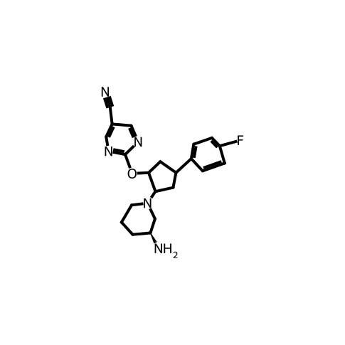 N#Cc1cnc(OC2CC(c3ccc(F)cc3)CC2N2CCC[C@H](N)C2)nc1